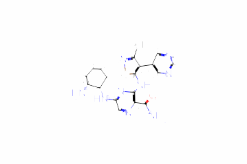 Cc1nsc(Nc2nc(N[C@@H]3CCCC[C@@H]3N)cnc2C(N)=O)c1-c1cncnc1